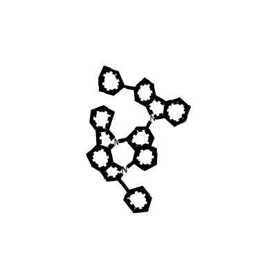 c1ccc(-c2ccc3c4ccccc4n(-c4cccc(-n5c6ccccc6c6ccc7cc(-c8ccccc8)n(-c8ccccc8)c7c65)c4)c3c2)cc1